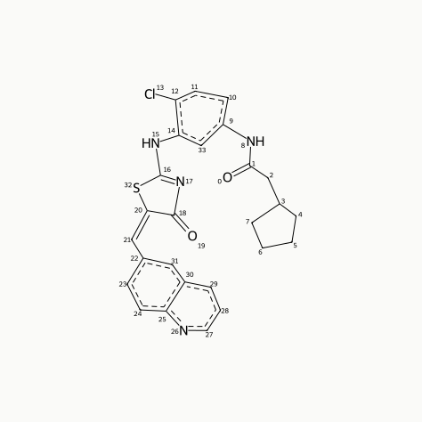 O=C(CC1CCCC1)Nc1ccc(Cl)c(NC2=NC(=O)C(=Cc3ccc4ncccc4c3)S2)c1